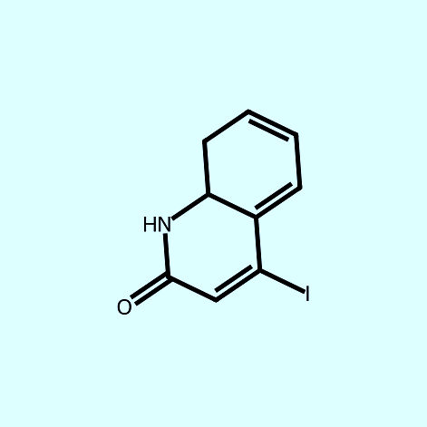 O=C1C=C(I)C2=CC=CCC2N1